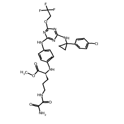 COC(=O)[C@H](CCCNC(=O)C(N)=O)Nc1ccc(Nc2nc(NC3(c4ccc(Cl)cc4)CC3)nc(OCC(F)(F)F)n2)cc1